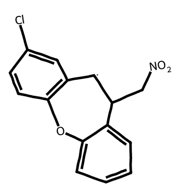 O=[N+]([O-])CC1[CH]c2cc(Cl)ccc2Oc2ccccc21